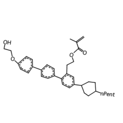 C=C(C)C(=O)OCCc1cc(C2CCC(CCCCC)CC2)ccc1-c1ccc(-c2ccc(OCCO)cc2)cc1